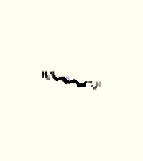 NC/C=C/CCC(=O)O